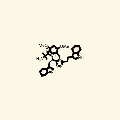 COc1ccc(Cn2c(CCc3c[nH]c4ccccc34)nnc2[C@@H](Cc2c[nH]c3ccccc23)NC(=O)C(C)(C)N)c(OC)c1